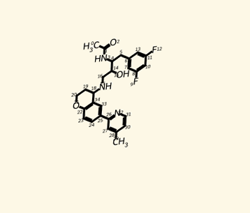 CC(=O)NC(Cc1cc(F)cc(F)c1)C(O)CNC1CCOc2ccc(-c3cc(C)ccn3)cc21